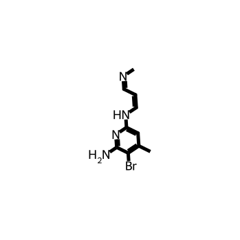 C/N=C\C=C/Nc1cc(C)c(Br)c(N)n1